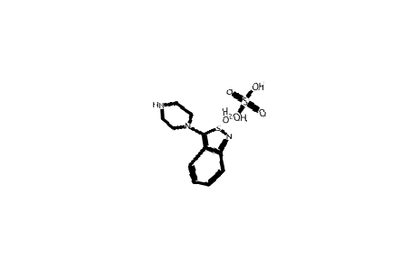 O.O=S(=O)(O)O.c1ccc2c(N3CCNCC3)snc2c1